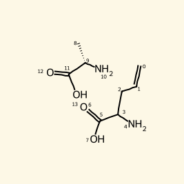 C=CCC(N)C(=O)O.C[C@H](N)C(=O)O